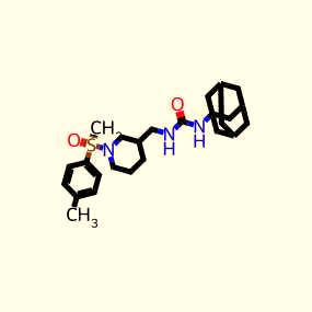 C=S(=O)(c1ccc(C)cc1)N1CCCC(CNC(=O)NC23CC4CC(CC(C4)C2)C3)C1